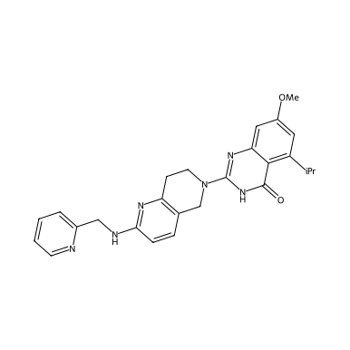 COc1cc(C(C)C)c2c(=O)[nH]c(N3CCc4nc(NCc5ccccn5)ccc4C3)nc2c1